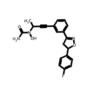 CC(C#Cc1cccc(C2=NOC(c3ccc(F)cc3)C2)c1)N(O)C(N)=O